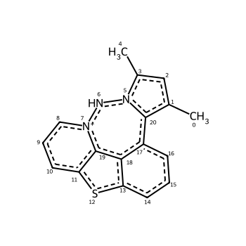 Cc1cc(C)n2[nH][n+]3cccc4sc5cccc(c5c43)c12